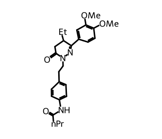 CCCC(=O)Nc1ccc(CCN2N=C(c3ccc(OC)c(OC)c3)C(CC)CC2=O)cc1